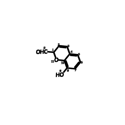 O=CC1C=Cc2cccc(O)c2O1